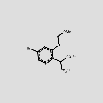 CCOC(=O)C(C(=O)OCC)c1ncc(Br)cc1OCOC